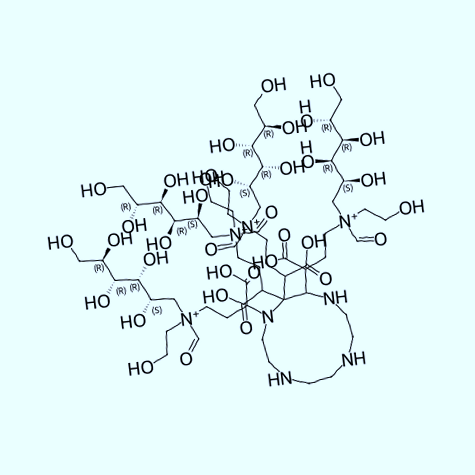 O=C[N+](CCO)(CCC(C(=O)O)C1NCCNCCNCCN(C(CC[N+](C=O)(CCO)C[C@H](O)[C@@H](O)[C@H](O)[C@H](O)CO)C(=O)O)C1(C(CC[N+](C=O)(CCO)C[C@H](O)[C@@H](O)[C@H](O)[C@H](O)CO)C(=O)O)C(CC[N+](C=O)(CCO)C[C@H](O)[C@@H](O)[C@H](O)[C@H](O)CO)C(=O)O)C[C@H](O)[C@@H](O)[C@H](O)[C@H](O)CO